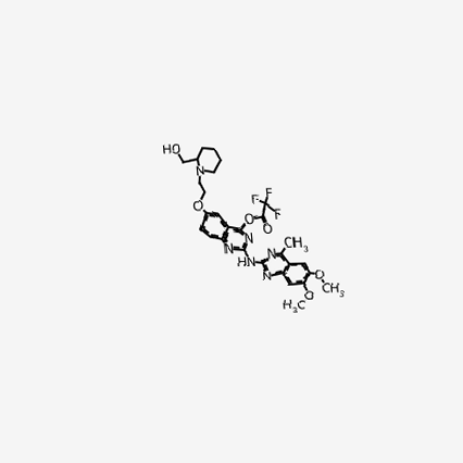 COc1cc2nc(Nc3nc(OC(=O)C(F)(F)F)c4cc(OCCN5CCCCC5CO)ccc4n3)nc(C)c2cc1OC